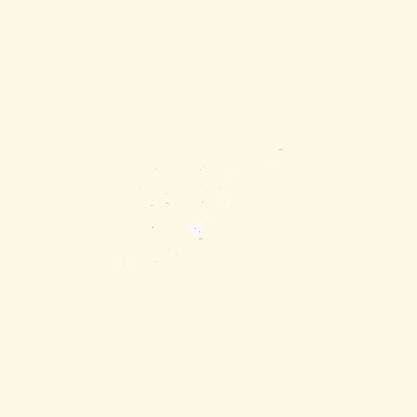 COCCOC(=O)C1(c2onc(-c3ccc(O)cc3)c2-c2ccccc2)CC1